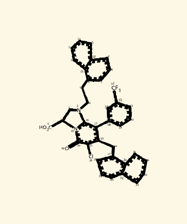 O=C(O)C1CN(CCc2cccc3ccccc23)c2c(-c3cccc(C(F)(F)F)c3)c(Cc3cccc4ccccc34)c(Cl)c(=O)n21